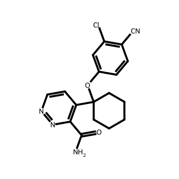 N#Cc1ccc(OC2(c3ccnnc3C(N)=O)CCCCC2)cc1Cl